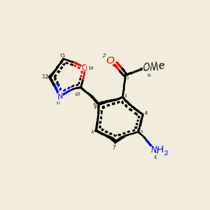 COC(=O)c1cc(N)ccc1-c1ncco1